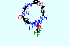 CC1(C)CNCC2(CCC2)COc2ccc(cc2)CNc2nc(nc(OCC(F)(F)F)n2)Nc2ccc(cc2)C(=O)NC1